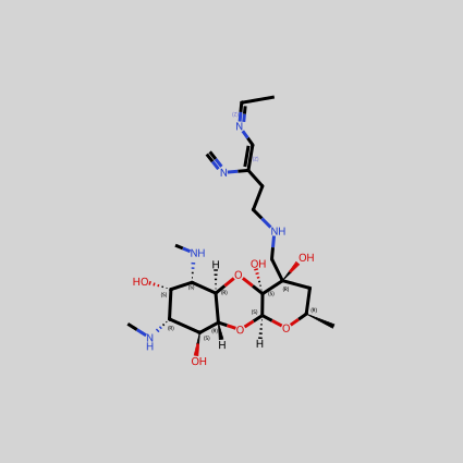 C=N/C(=C\N=C/C)CCNC[C@]1(O)C[C@@H](C)O[C@H]2O[C@@H]3[C@@H](O)[C@H](NC)[C@H](O)[C@H](NC)[C@H]3O[C@]21O